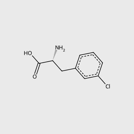 N[C@H](Cc1cccc(Cl)c1)C(=O)O